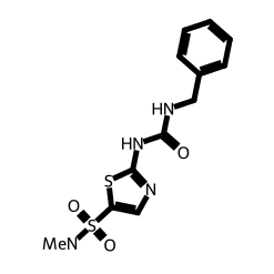 CNS(=O)(=O)c1cnc(NC(=O)NCc2ccccc2)s1